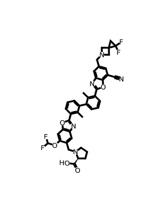 Cc1c(-c2nc3cc(CN4CCC[C@H]4C(=O)O)c(OC(F)F)cc3o2)cccc1-c1cccc(-c2nc3cc(CN4CC5(C4)CC5(F)F)cc(C#N)c3o2)c1C